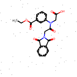 CCOC(=O)c1cccc(N(CC(=O)O)C(=O)CN2C(=O)c3ccccc3C2=O)c1